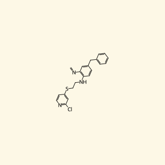 C=Nc1cc(Cc2ccccc2)ccc1NCCSc1ccnc(Cl)c1